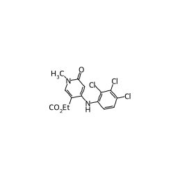 CCOC(=O)c1cn(C)c(=O)cc1Nc1ccc(Cl)c(Cl)c1Cl